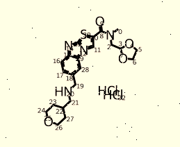 CN(CC1OCCO1)C(=O)c1cn2c(nc3ccc(CNCC4CCOCC4)cc32)s1.Cl.Cl